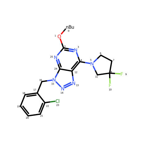 CCCCOc1nc(N2CCC(F)(F)C2)c2nnn(Cc3ccccc3Cl)c2n1